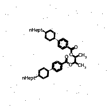 CCCCCCC[C@H]1CC[C@H](c2ccc(C(=O)OC(C)C(C)OC(=O)c3ccc([C@H]4CC[C@H](CCCCCCC)CC4)cc3)cc2)CC1